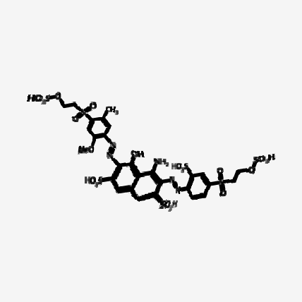 COc1cc(S(=O)(=O)CCOS(=O)(=O)O)c(C)cc1/N=N/c1c(S(=O)(=O)O)cc2cc(S(=O)(=O)O)c(/N=N/c3ccc(S(=O)(=O)CCOS(=O)(=O)O)cc3S(=O)(=O)O)c(N)c2c1O